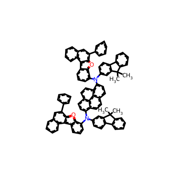 CC1(C)c2ccccc2-c2ccc(N(c3ccc4ccc5c(N(c6ccc7c(c6)C(C)(C)c6ccccc6-7)c6cccc7c6oc6c(-c8ccccc8)cc8ccccc8c67)ccc6ccc3c4c65)c3cccc4c3oc3c(-c5ccccc5)cc5ccccc5c34)cc21